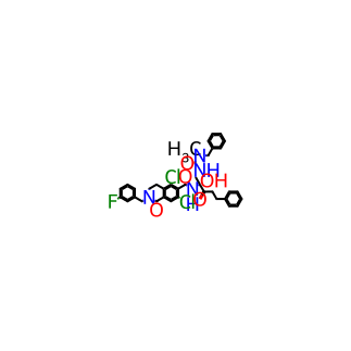 CN(Cc1ccccc1)C(=O)NCC(O)(NC(=O)c1c(Cl)cc2c(c1Cl)CCN(Cc1cccc(F)c1)C2=O)C(=O)CCc1ccccc1